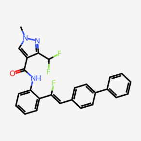 Cn1cc(C(=O)Nc2ccccc2C(F)=Cc2ccc(-c3ccccc3)cc2)c(C(F)F)n1